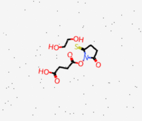 O=C(O)CCC(=O)ON1C(=O)CCC1=S.OCCO